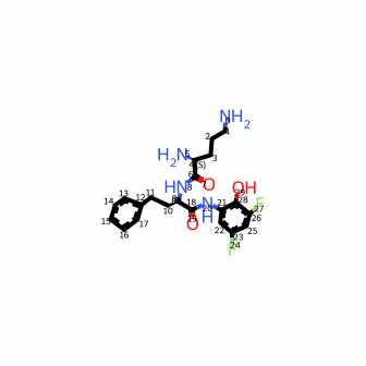 NCCC[C@H](N)C(=O)N[C@H](CCc1ccccc1)C(=O)Nc1cc(F)cc(F)c1O